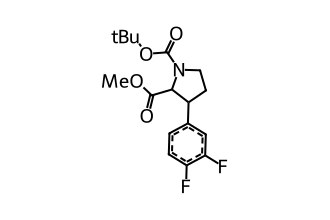 COC(=O)C1C(c2ccc(F)c(F)c2)CCN1C(=O)OC(C)(C)C